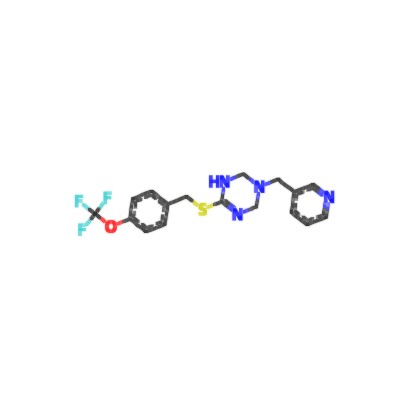 FC(F)(F)Oc1ccc(CSC2=NCN(Cc3cccnc3)CN2)cc1